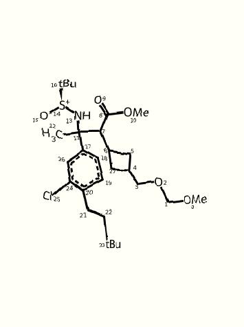 COCOCC1CC(C(C(=O)OC)C(C)(N[S@@+]([O-])C(C)(C)C)c2ccc(CCC(C)(C)C)c(Cl)c2)C1